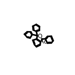 CC(=O)C(OC(c1ccccc1)(c1ccccc1)c1ccccc1)c1ccccc1